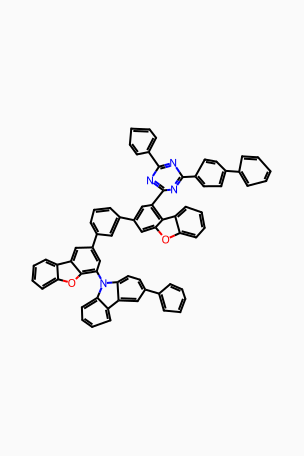 c1ccc(-c2ccc(-c3nc(-c4ccccc4)nc(-c4cc(-c5cccc(-c6cc(-n7c8ccccc8c8cc(-c9ccccc9)ccc87)c7oc8ccccc8c7c6)c5)cc5oc6ccccc6c45)n3)cc2)cc1